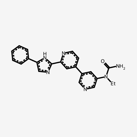 CCN(C(N)=O)c1cncc(-c2ccnc(-c3ncc(-c4ccccc4)[nH]3)c2)c1